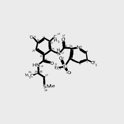 CCS(=O)(=O)c1cc(C(F)(F)F)cnc1C(=O)Nc1c(C)cc(Cl)cc1C(=O)N[C@H](C)CSC